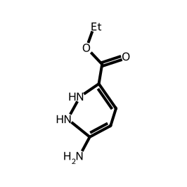 CCOC(=O)C1=CC=C(N)NN1